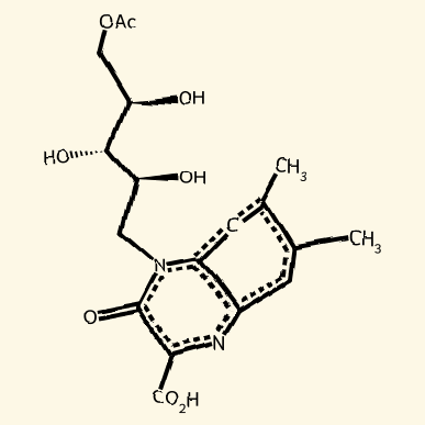 CC(=O)OC[C@@H](O)[C@@H](O)[C@@H](O)Cn1c(=O)c(C(=O)O)nc2cc(C)c(C)cc21